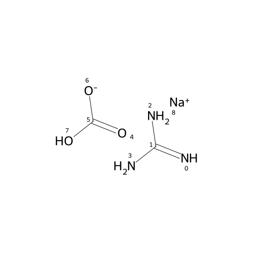 N=C(N)N.O=C([O-])O.[Na+]